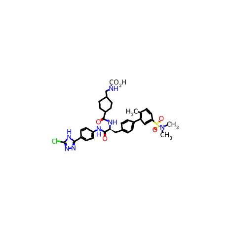 Cc1ccc(S(=O)(=O)N(C)C)cc1-c1ccc(C[C@H](NC(=O)C2CCC(CNC(=O)O)CC2)C(=O)Nc2ccc(-c3nnc(Cl)[nH]3)cc2)cc1